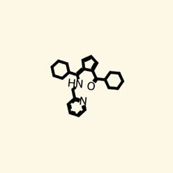 O=C(C1=CC=C/C1=C(/NCc1ccccn1)C1CCCCC1)C1CCCCC1